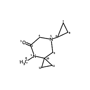 CN1C(=O)CN(C2CC2)CC12CC2